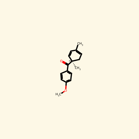 COc1ccc(C(=O)[C@@]2(C)C=CC(C)=CC2)cc1